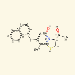 CC(C)c1c(Cc2cccc3ccccc23)cc(=O)n2c1SC[C@H]2C(=O)C#N